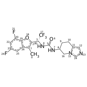 Cc1c([C@@H](NC(=O)NC2CCc3cncn3C2)C(F)(F)F)oc2c(F)cc(F)cc12